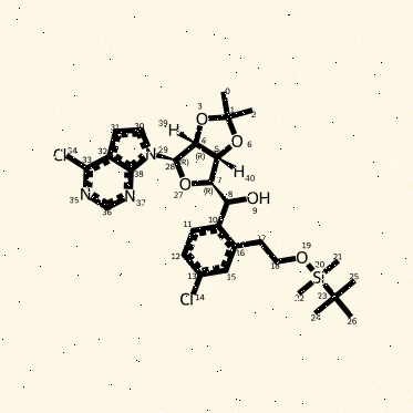 CC1(C)O[C@@H]2[C@H](O1)[C@@H](C(O)c1ccc(Cl)cc1CCO[Si](C)(C)C(C)(C)C)O[C@H]2n1ccc2c(Cl)ncnc21